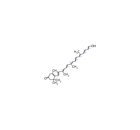 CC1=C(/C=C/C(C)=C/C=C/C(C)=C/C=C/C=C(C)/C=C/C=C/O)C(C)(C)CC(=O)C1